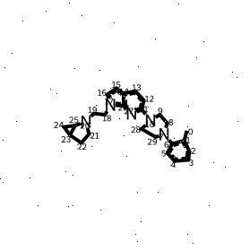 Cc1ccccc1N1CCN(c2ccc3ccn(CCN4CCC5CC54)c3n2)CC1